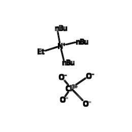 CCCC[N+](CC)(CCCC)CCCC.[O-][Cl+3]([O-])([O-])[O-]